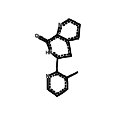 Cc1cccnc1-c1cc2cccnc2c(=O)[nH]1